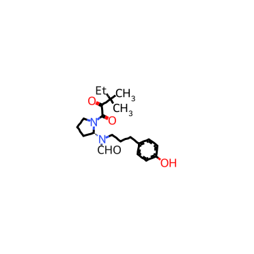 CCC(C)(C)C(=O)C(=O)N1CCC[C@H]1N(C=O)CCCc1ccc(O)cc1